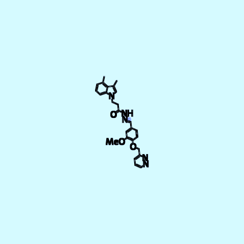 COc1cc(/C=N/NC(=O)CCn2cc(C)c3c(C)cccc32)ccc1OCc1cccnn1